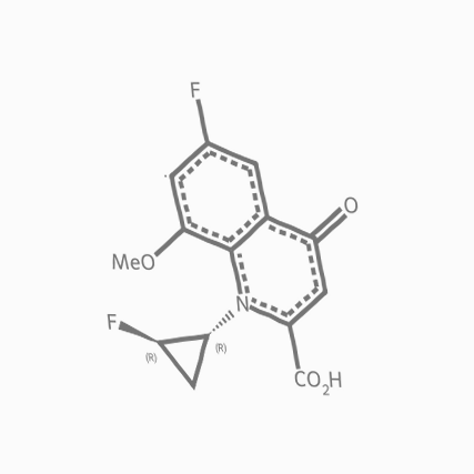 COc1[c]c(F)cc2c(=O)cc(C(=O)O)n([C@@H]3C[C@H]3F)c12